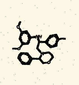 COc1cc(NC(CN2CCOCC2c2ccccc2)c2ccc(C)cc2)cc(OC)c1